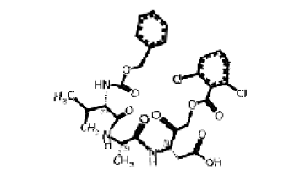 CC(C)[C@H](NC(=O)OCc1ccccc1)C(=O)N[C@@H](C)C(=O)N[C@@H](CC(=O)O)C(=O)COC(=O)c1c(Cl)cccc1Cl